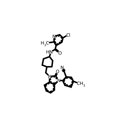 Cc1ccc(-n2c(=O)n(CC3CCC(NC(=O)c4cc(Cl)cnc4C)CC3)c3ccccc32)c(C#N)c1